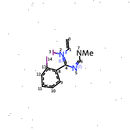 C=C/[N+](I)=C(\N=C/NC)c1ccccc1I